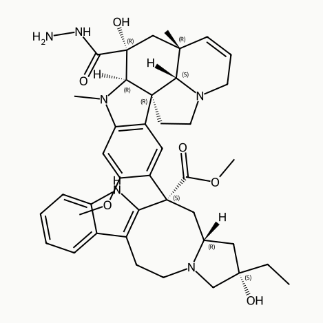 CC[C@]1(O)C[C@H]2C[C@](C(=O)OC)(c3cc4c(cc3OC)N(C)[C@@H]3[C@]45CCN4CC=C[C@@](C)(C[C@]3(O)C(=O)NN)[C@H]45)c3[nH]c4ccccc4c3CCN2C1